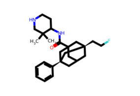 CC1(C)CNCCC1NC(=O)C12CC3C[C@@](CCF)(C1)C[C@](c1ccccc1)(C3)C2